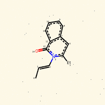 CC=Cn1c(CC)cc2ccccc2c1=O